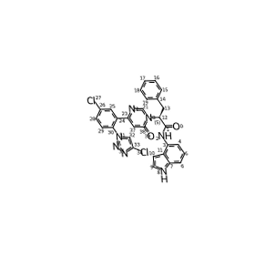 O=C(Nc1cccc2[nH]ccc12)[C@H](Cc1ccccc1)n1cnc(-c2cc(Cl)ccc2-n2cc(Cl)nn2)cc1=O